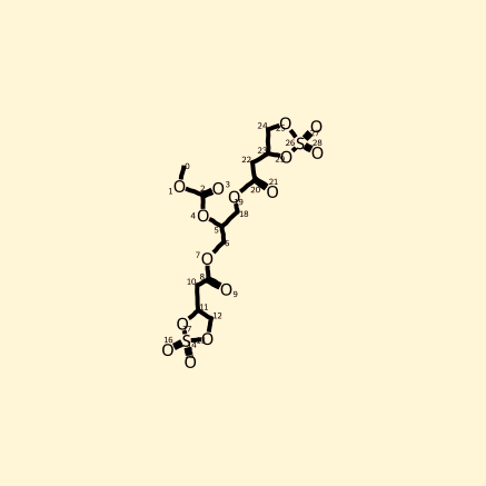 COC(=O)OC(COC(=O)CC1COS(=O)(=O)O1)COC(=O)CC1COS(=O)(=O)O1